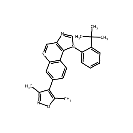 Cc1noc(C)c1-c1ccc2c(c1)ncc1ncn(-c3ccccc3C(C)(C)C)c12